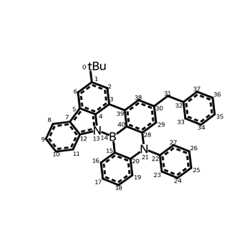 CC(C)(C)c1cc2c3c(c1)c1ccccc1n3B1c3ccccc3N(c3ccccc3)c3cc(Cc4ccccc4)cc-2c31